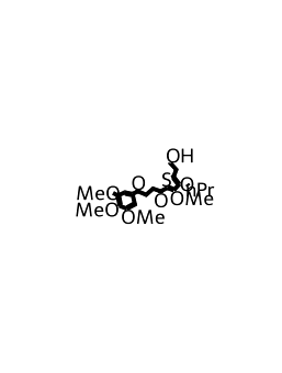 CCCOc1c(CCO)sc(C(=O)CCC(=O)c2cc(OC)c(OC)c(OC)c2)c1OC